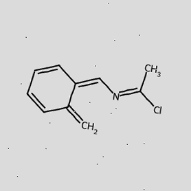 C=c1cccc/c1=C/N=C(\C)Cl